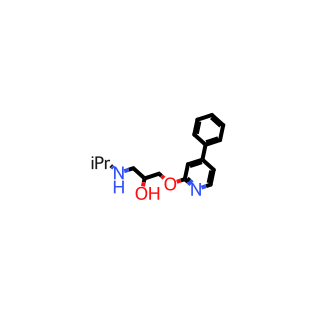 CC(C)NCC(O)COc1cc(-c2ccccc2)ccn1